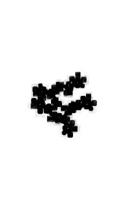 Cc1cn([C@H]2C[C@H](O[P@](=O)(S)OC[C@H]3O[C@@H](n4cc(C)c(=O)[nH]c4=O)C[C@@H]3O[P@](=O)(S)OC[C@H]3O[C@@H](n4cc(C)c(=O)[nH]c4=O)C[C@@H]3O[PH](=O)OC[C@H]3O[C@@H](n4cc(C)c(=O)[nH]c4=O)C[C@@H]3O[P@](=O)(S)OC[C@H]3O[C@@H](n4cc(C)c(=O)[nH]c4=O)C[C@@H]3O)[C@@H](C)O2)c(=O)[nH]c1=O